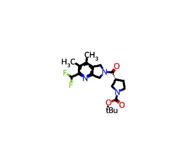 Cc1c(C(F)F)nc2c(c1C)CN(C(=O)[C@@H]1CCN(C(=O)OC(C)(C)C)C1)C2